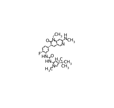 CCn1c(=O)c(-c2ccc(F)c(NC(=O)Nc3cc(C(C)(C)C)cn3C)c2)cc2cnc(NC)cc21